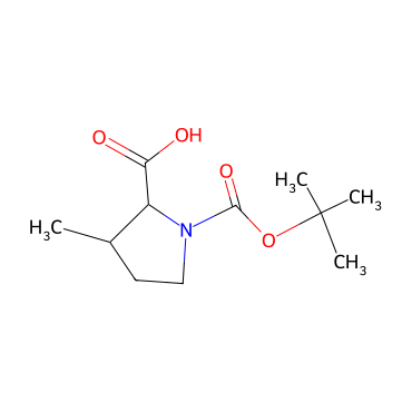 CC1CCN(C(=O)OC(C)(C)C)C1C(=O)O